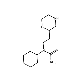 NC(=S)N(CCC1CNCCO1)C1CCCCC1